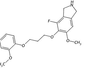 COc1ccccc1OCCCOc1c(OC)cc2c(c1F)CNC2